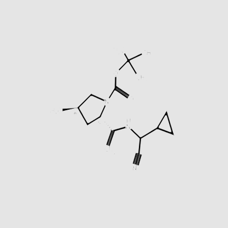 C=C(NC(C#N)C1CC1)[C@@H]1C[C@@H](C)CN1C(=O)OC(C)(C)C